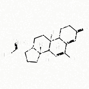 CC(=O)[C@H]1CC[C@H]2[C@@H]3C=C(C)C4=CC(=O)CC[C@@H]4[C@H]3CC[C@]12C